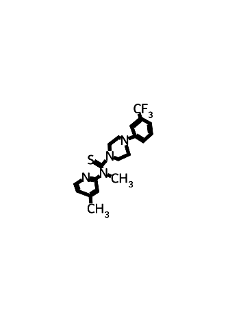 Cc1ccnc(N(C)C(=S)N2CCN(c3cccc(C(F)(F)F)c3)CC2)c1